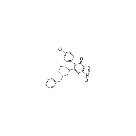 CCn1cnc2c(=O)n(-c3ccc(Cl)cc3)c(N3CCCC(Cc4ccccc4)C3)nc21